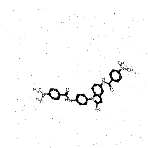 CC(=O)c1cc2cc(NC(=O)c3ccc(N(C)C)cc3)ccc2n1-c1ccc(NC(=O)c2ccc(N(C)C)cc2)cc1